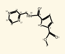 COC(=O)c1ccc(C(=O)NCc2cnccn2)s1